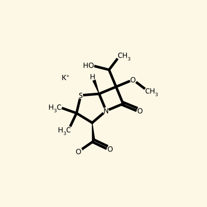 COC1(C(C)O)C(=O)N2[C@@H](C(=O)[O-])C(C)(C)S[C@@H]21.[K+]